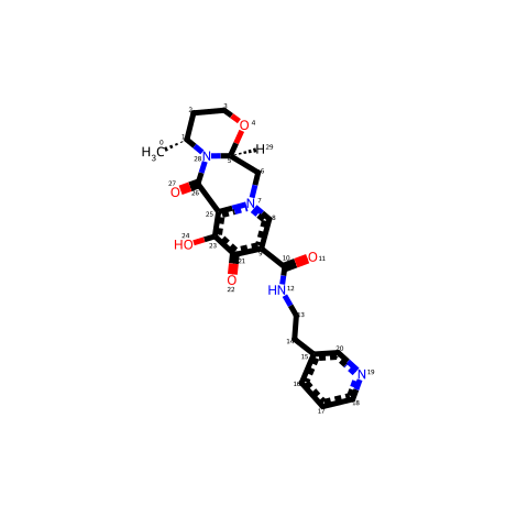 C[C@@H]1CCO[C@H]2Cn3cc(C(=O)NCCc4cccnc4)c(=O)c(O)c3C(=O)N12